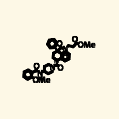 COC(=O)CCNC(=O)[C@@]1(c2ccccc2)CC[C@H](C(=O)N2CCC(NC(=O)c3ccccc3OC)CC2)c2ccccc21